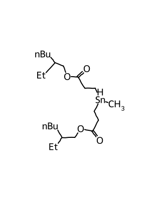 CCCCC(CC)COC(=O)C[CH2][SnH]([CH3])[CH2]CC(=O)OCC(CC)CCCC